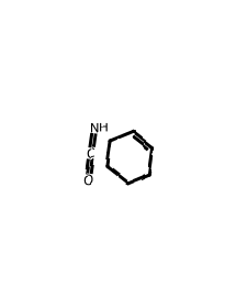 C1=CCCCC1.N=C=O